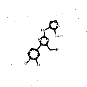 CC(C)Cc1sc(Nc2ccsc2C(=O)O)nc1-c1ccc(Cl)c(Cl)c1